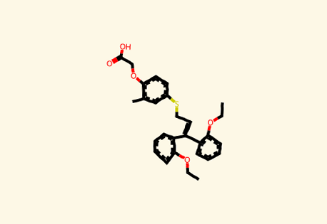 CCOc1ccccc1C(=CCSc1ccc(OCC(=O)O)c(C)c1)c1ccccc1OCC